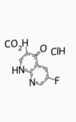 Cl.O=C(O)c1c[nH]c2ncc(F)cc2c1=O